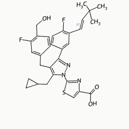 CC(C)(C)/C=C/c1cc(-c2nn(-c3nc(C(=O)O)cs3)c(CC3CC3)c2Cc2ccc(CO)c(F)c2)ccc1F